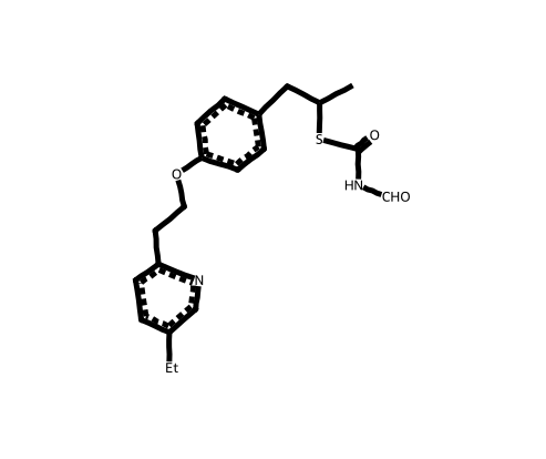 CCc1ccc(CCOc2ccc(CC(C)SC(=O)NC=O)cc2)nc1